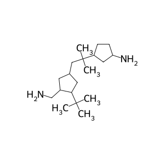 CC(C)(C)C1CC(CC(C)(C)C2CCC(N)C2)CC1CN